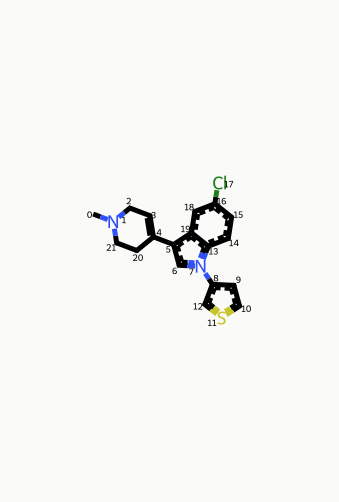 CN1CC=C(c2cn(-c3ccsc3)c3ccc(Cl)cc23)CC1